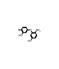 Cc1ccc(Oc2cc(O)ccc2N)cc1O